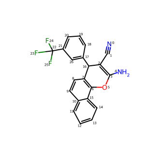 N#CC1=C(N)Oc2c(ccc3ccccc23)C1c1cccc(C(F)(F)F)c1